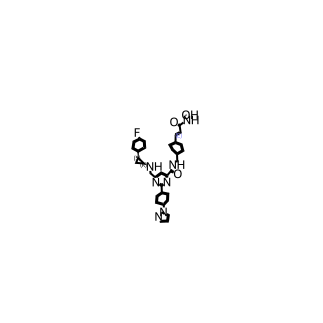 O=C(/C=C/c1ccc(CNC(=O)c2cc(CN[C@@H]3C[C@H]3c3ccc(F)cc3)nc(-c3ccc(-n4cccn4)cc3)n2)cc1)NO